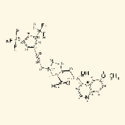 COc1ccc2nccc([C@@H](O)CC[C@@H]3CCN(CC#Cc4cc(C(F)(F)F)cc(C(F)(F)F)c4)C[C@@H]3C(=O)O)c2c1